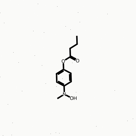 CCCC(=O)Oc1ccc(N(C)O)cc1